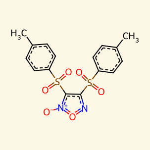 Cc1ccc(S(=O)(=O)c2no[n+]([O-])c2S(=O)(=O)c2ccc(C)cc2)cc1